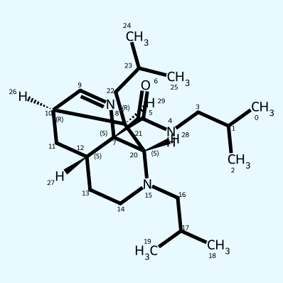 CC(C)CNC(=O)[C@]12N=C[C@@H]3C[C@H]1CCN(CC(C)C)[C@H]2[C@@H]3CC(C)C